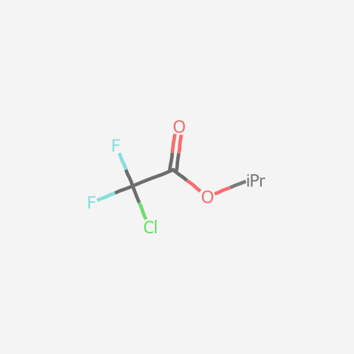 CC(C)OC(=O)C(F)(F)Cl